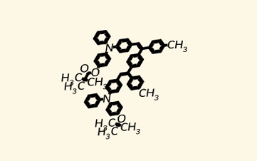 Cc1ccc(C(=Cc2ccc(N(c3ccccc3)c3ccc(OC(=O)C(C)(C)C)cc3)cc2)c2ccc(C(=Cc3ccc(N(c4ccccc4)c4ccc(OC(C)(C)C)cc4)cc3)c3ccc(C)cc3)cc2)cc1